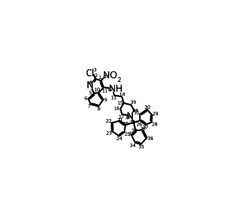 O=[N+]([O-])c1c(Cl)nc2ccccc2c1NCCC1CCN(C(c2ccccc2)(c2ccccc2)c2ccccc2)CC1